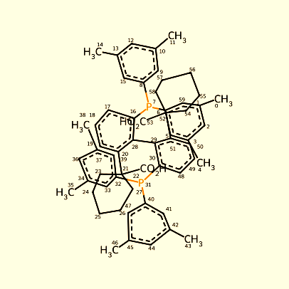 Cc1cc(C)cc(P(c2cc(C)cc(C)c2)c2cccc(C3(C(=O)O)CCCCC3)c2-c2c(P(c3cc(C)cc(C)c3)c3cc(C)cc(C)c3)cccc2C2(C(=O)O)CCCCC2)c1